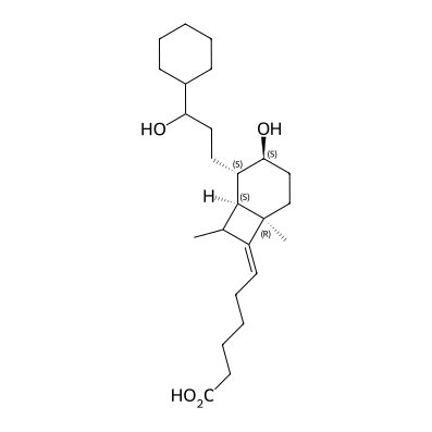 CC1C(=CCCCCC(=O)O)[C@]2(C)CC[C@H](O)[C@@H](CCC(O)C3CCCCC3)[C@H]12